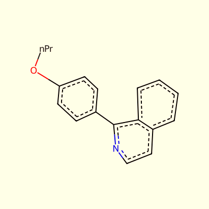 CCCOc1ccc(-c2nccc3ccccc23)cc1